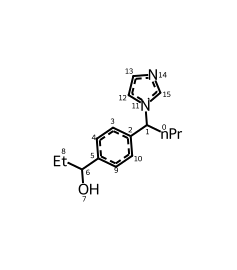 CCCC(c1ccc(C(O)CC)cc1)n1ccnc1